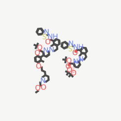 CC(C)(C)OC(=O)c1nc(N2CCc3cccc(C(=O)Nc4nc5ccccc5s4)c3C2)ccc1B1OC(C)(C)C(C)(C)O1.CCOC(=O)CN1CCCC(CCCOc2cccc(-c3ccc(N4CCc5cccc(C(=O)Nc6nc7ccccc7s6)c5C4)nc3C(=O)OC(C)(C)C)c2C)C1